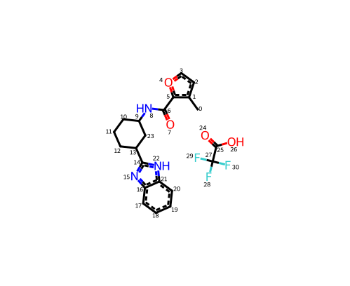 Cc1ccoc1C(=O)NC1CCCC(c2nc3ccccc3[nH]2)C1.O=C(O)C(F)(F)F